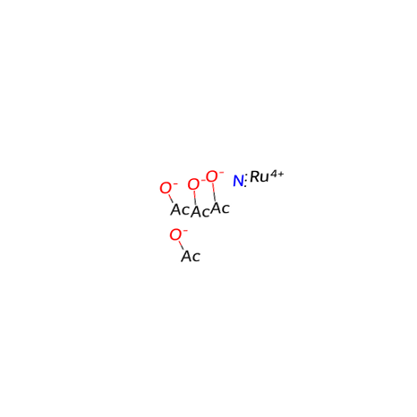 CC(=O)[O-].CC(=O)[O-].CC(=O)[O-].CC(=O)[O-].[N].[Ru+4]